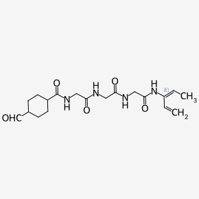 C=C/C(=C\C)NC(=O)CNC(=O)CNC(=O)CNC(=O)C1CCC(C=O)CC1